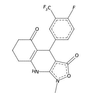 Cn1oc(=O)c2c1NC1=C(C(=O)CCC1)C2c1ccc(F)c(C(F)(F)F)c1